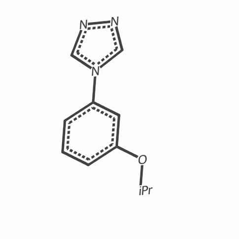 CC(C)Oc1cccc(-n2cnnc2)c1